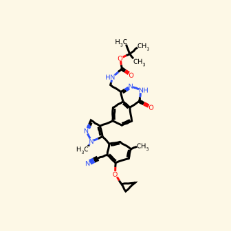 Cc1cc(OC2CC2)c(C#N)c(-c2c(-c3ccc4c(=O)[nH]nc(CNC(=O)OC(C)(C)C)c4c3)cnn2C)c1